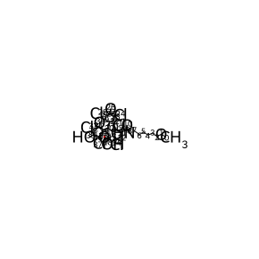 COCCCCCCNC(=O)c1cc(Cl)c(C(=O)O)c(-c2c3cc(Cl)c(=O)c(Cl)c-3oc3c(Cl)c(O)c(Cl)cc23)c1Cl